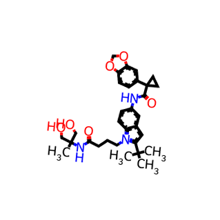 CC(CO)(CO)NC(=O)CCCn1c(C(C)(C)C)cc2cc(NC(=O)C3(c4ccc5c(c4)OCO5)CC3)ccc21